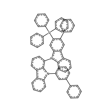 c1ccc(-c2cccc(-n3c4ccccc4c4cccc(-n5c6ccccc6c6cc(-c7ccccc7)c([Si](c7ccccc7)(c7ccccc7)c7ccccc7)cc65)c43)c2)cc1